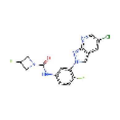 O=C(Nc1ccc(F)c(-n2cc3cc(Cl)cnc3n2)c1)N1CC(F)C1